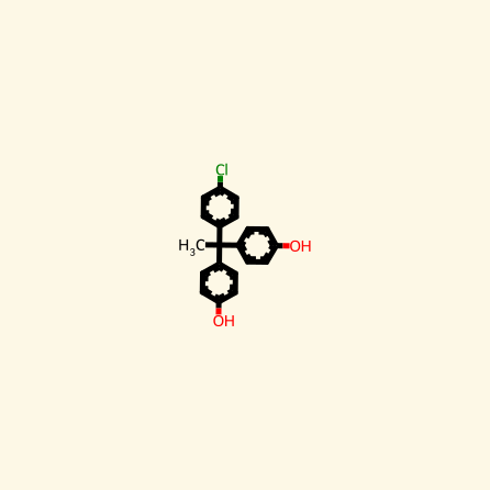 CC(c1ccc(O)cc1)(c1ccc(O)cc1)c1ccc(Cl)cc1